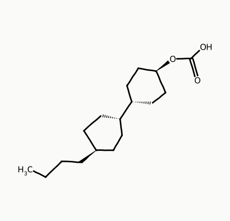 CCCC[C@H]1CC[C@H]([C@H]2CC[C@H](OC(=O)O)CC2)CC1